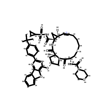 CC(C)(C)c1ccc(-c2nc(O[C@@H]3C[C@H]4C(=O)N[C@]5(C(=O)NS(=O)(=O)C6CC6)C[C@H]5/C=C\CCCCC[C@H](NC(=O)N5CCOCC5)C(=O)N4C3)c3oc4ccccc4c3n2)cc1